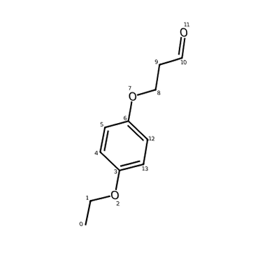 CCOc1ccc(OCCC=O)cc1